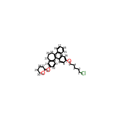 ClCCCCCOc1ccc(C2=C(c3ccccc3)CCCc3cc(OC4CCCCO4)ccc32)cc1